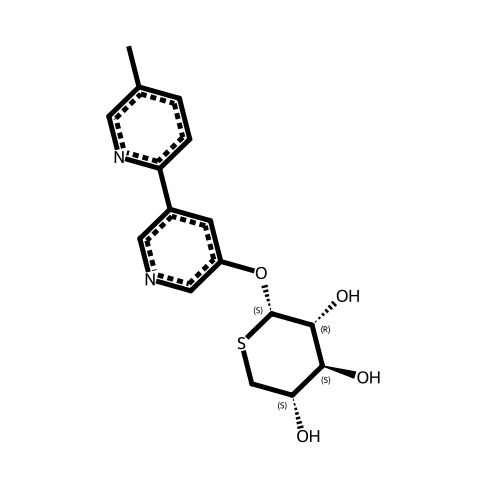 Cc1ccc(-c2cncc(O[C@H]3SC[C@@H](O)[C@H](O)[C@H]3O)c2)nc1